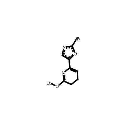 CCOC1=NC(c2cnc(C(C)C)o2)=CCC1